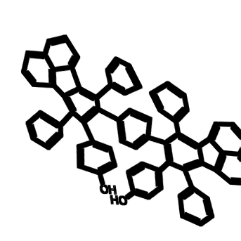 Oc1ccc(-c2c(-c3ccc(-c4c(-c5ccc(O)cc5)c(-c5ccccc5)c5c(c4-c4ccccc4)-c4cccc6cccc-5c46)cc3)c(-c3ccccc3)c3c(c2-c2ccccc2)-c2cccc4cccc-3c24)cc1